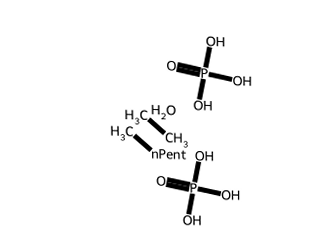 CC.CCCCCC.O.O=P(O)(O)O.O=P(O)(O)O